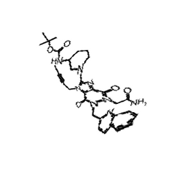 CC#CCn1c(N2CCCC(NC(=O)OC(C)(C)C)C2)nc2c(=O)n(CC(N)=O)n(Cc3ccc4ccccc4n3)c(=O)c21